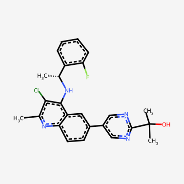 Cc1nc2ccc(-c3cnc(C(C)(C)O)nc3)cc2c(N[C@H](C)c2c[c]ccc2F)c1Cl